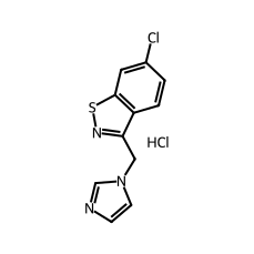 Cl.Clc1ccc2c(Cn3ccnc3)nsc2c1